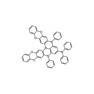 c1ccc(N(c2ccccc2)c2cc3c4c(c2)N(c2ccccc2)c2cc5c(cc2B4c2cc4c(cc2N3c2ccccc2)Oc2ccccc2O4)Oc2ccccc2O5)cc1